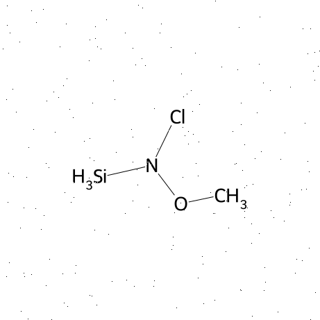 CON([SiH3])Cl